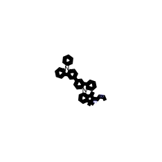 C=C1/C(=C\C=C/C)C(C)(C)c2cccc(-n3c4ccccc4c4cc(-c5ccc6c(c5)c5ccccc5n6-c5ccccc5)ccc43)c21